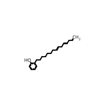 C=CCC=CCC=CCCCCCCCc1ccccc1O